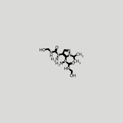 CC(C)n1ncc(N(N)C(=O)NCO)c1N(N)C(=O)NCO